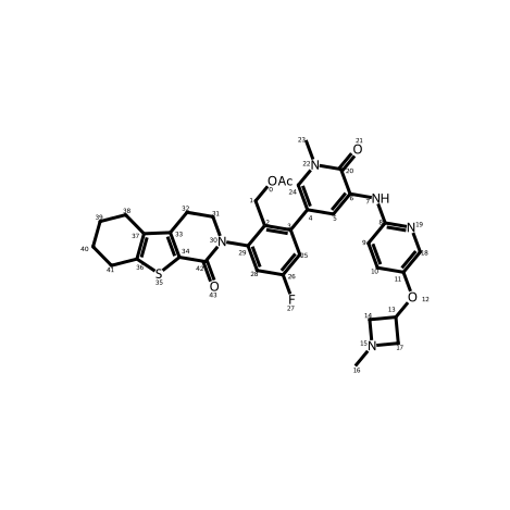 CC(=O)OCc1c(-c2cc(Nc3ccc(OC4CN(C)C4)cn3)c(=O)n(C)c2)cc(F)cc1N1CCc2c(sc3c2CCCC3)C1=O